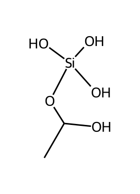 CC(O)O[Si](O)(O)O